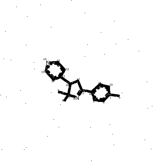 Cc1ccc(C2=NC(C)(C)C(c3ccncc3)C2)cc1